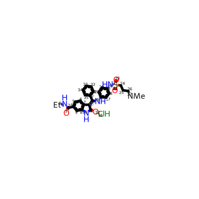 CCNC(=O)c1ccc2c(c1)NC(=O)/C2=C(\Nc1ccc(NS(=O)(=O)CCCNC)cc1)c1ccccc1.Cl